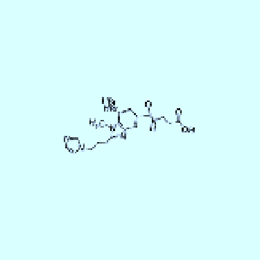 Br.Br.Cn1c(CCCn2ccnc2)nc2cc(C(=O)NCCC(=O)O)ccc21